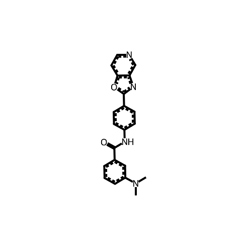 CN(C)c1cccc(C(=O)Nc2ccc(-c3nc4cnccc4o3)cc2)c1